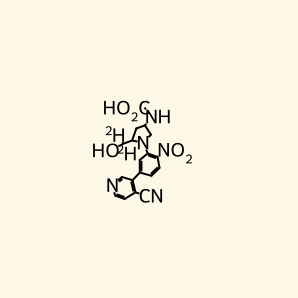 [2H]C([2H])(O)C1CC(NC(=O)O)CN1c1cc(-c2cnccc2C#N)ccc1[N+](=O)[O-]